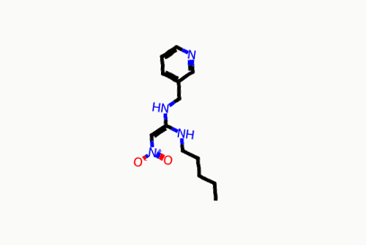 CCCCCN/C(=C\[N+](=O)[O-])NCc1cccnc1